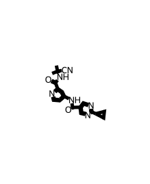 CC(C)(C#N)NC(=O)c1cc(NC(=O)c2cnc(C3CC3)nc2)ccn1